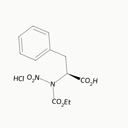 CCOC(=O)N([C@@H](Cc1ccccc1)C(=O)O)[N+](=O)[O-].Cl